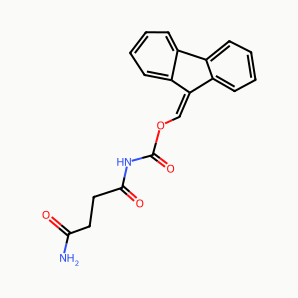 NC(=O)CCC(=O)NC(=O)OC=C1c2ccccc2-c2ccccc21